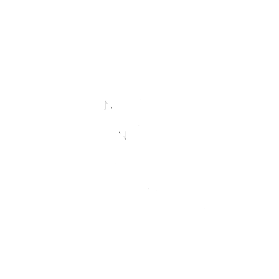 CC(C)c1cccc2c1oc1c3c(ccc12)C1(CC2c4ccccc4-c4cccc[n+]4C21)[n+]1ccccc1-3